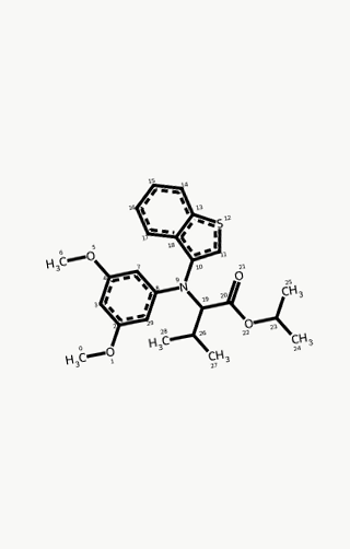 COc1cc(OC)cc(N(c2csc3ccccc23)C(C(=O)OC(C)C)C(C)C)c1